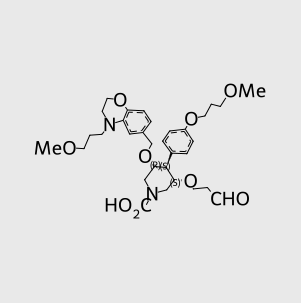 COCCCOc1ccc([C@@H]2[C@@H](OCc3ccc4c(c3)N(CCCOC)CCO4)CN(C(=O)O)C[C@H]2OCCC=O)cc1